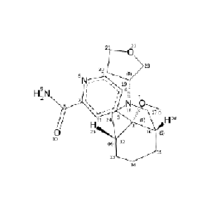 CO[C@@]1(c2ccnc(C(N)=O)c2)[C@@H]2CCC[C@H]1CN([C@@H]1CCOC1)C2